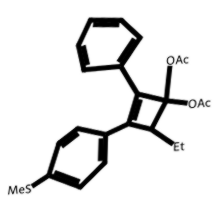 CCC1C(c2ccc(SC)cc2)=C(c2ccccc2)C1(OC(C)=O)OC(C)=O